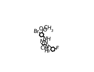 COC(=O)c1cc(Nc2ncc(C)c(NCc3cccc(F)c3)n2)ccc1Br